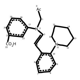 CC(=O)CN(C=Cc1ccccc1N1CCCCC1)c1cccc(C(=O)O)c1